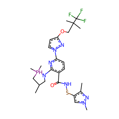 Cc1nn(C)cc1SNC(=O)c1ccc(-n2ccc(OCC(C)(C)C(F)(F)F)n2)nc1N1CC(C)C[PH]1(C)C